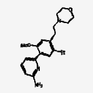 CCc1cc(-c2cccc(N)n2)c(OC)cc1CCN1CCOCC1